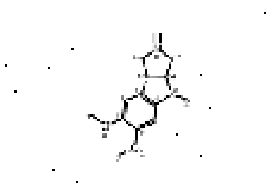 COc1cc2c(cc1OC)C1CNCC1C2C